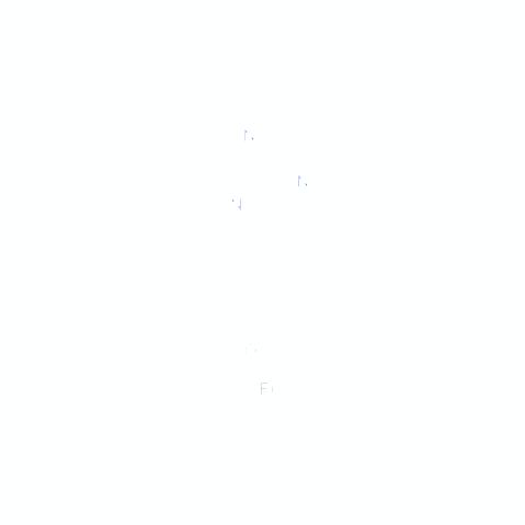 CCOCCOc1n[c]ncn1